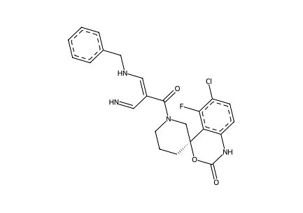 N=C/C(=C\NCc1ccccc1)C(=O)N1CCC[C@@]2(C1)OC(=O)Nc1ccc(Cl)c(F)c12